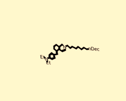 CCCCCCCCCCCCCCCCCCN1C=CC2=C(CCCC2=Cc2ccc(N(CC)CC)cc2)C1